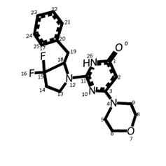 O=c1cc(N2CCOCC2)nc(N2CCC(F)(F)C2Cc2ccccc2)[nH]1